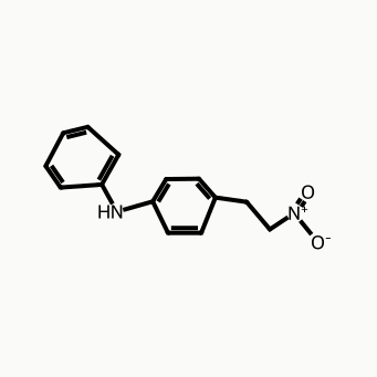 O=[N+]([O-])CCc1ccc(Nc2ccccc2)cc1